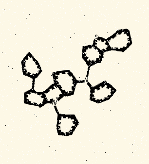 c1ccc(-c2cccc3c2c2ccc(N(c4ccccc4)c4ccc5sc6ccccc6c5c4)cc2n3-c2ccccc2)cc1